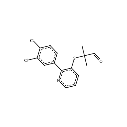 CC(C)(C=O)Sc1cccnc1-c1ccc(Cl)c(Cl)c1